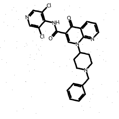 O=C(Nc1c(Cl)cncc1Cl)c1cn(C2CCN(Cc3ccccc3)CC2)c2ncccc2c1=O